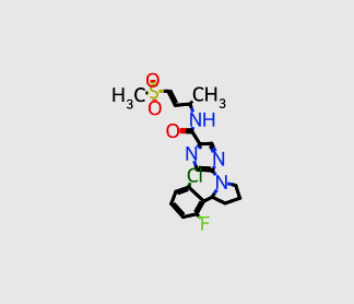 C[C@H](/C=C/S(C)(=O)=O)NC(=O)c1cnc(N2CCCC2c2c(F)cccc2Cl)cn1